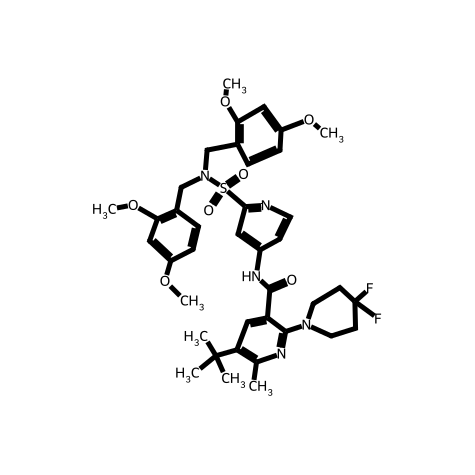 COc1ccc(CN(Cc2ccc(OC)cc2OC)S(=O)(=O)c2cc(NC(=O)c3cc(C(C)(C)C)c(C)nc3N3CCC(F)(F)CC3)ccn2)c(OC)c1